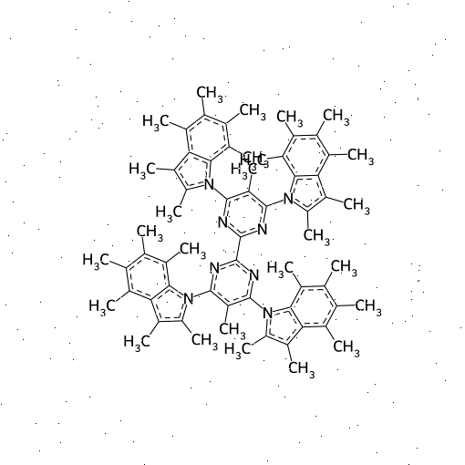 Cc1c(-n2c(C)c(C)c3c(C)c(C)c(C)c(C)c32)nc(-c2nc(-n3c(C)c(C)c4c(C)c(C)c(C)c(C)c43)c(C)c(-n3c(C)c(C)c4c(C)c(C)c(C)c(C)c43)n2)nc1-n1c(C)c(C)c2c(C)c(C)c(C)c(C)c21